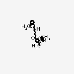 COc1ccccc1CCNCCCCC(=O)c1ccc(OC)c(NS(C)(=O)=O)c1